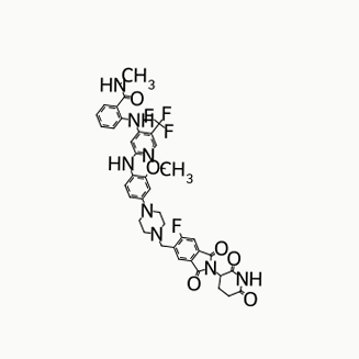 CNC(=O)c1ccccc1Nc1cc(Nc2ccc(N3CCN(Cc4cc5c(cc4F)C(=O)N(C4CCC(=O)NC4=O)C5=O)CC3)cc2OC)ncc1C(F)(F)F